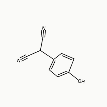 N#CC(C#N)c1ccc(O)cc1